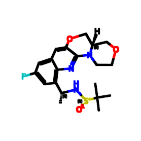 C[C@@H](N[S@+]([O-])C(C)(C)C)c1cc(F)cc2cc3c(nc12)N1CCOC[C@H]1CO3